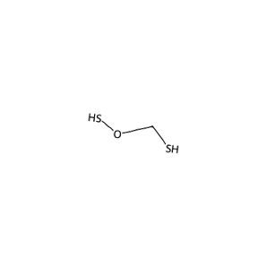 SCOS